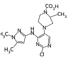 Cc1cc(Nc2nc(Cl)ncc2N2CCN(C(=O)O)C(C)C2)nn1C